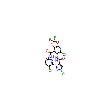 CNC(=O)c1c(NC(=O)c2cc(Br)nn2-c2ncccc2Cl)c(Cl)cc2c1OC(F)(F)O2